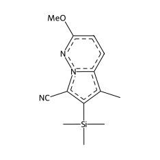 COc1ccc2c(C)c([Si](C)(C)C)c(C#N)n2n1